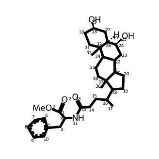 COC(=O)C(Cc1ccccc1)NC(=O)CCC(C)C1CCC2C3C[C@H](O)[C@@H]4C[C@H](O)CCC4(C)C3CCC12C